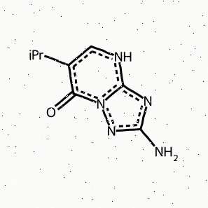 CC(C)c1c[nH]c2nc(N)nn2c1=O